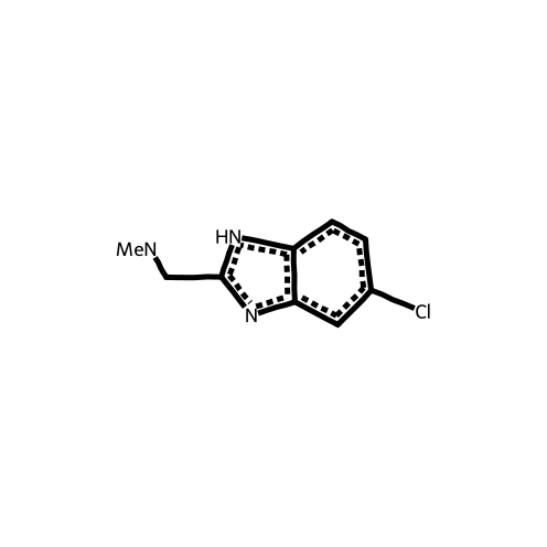 CNCc1nc2cc(Cl)ccc2[nH]1